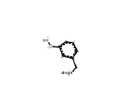 [CH2]CCOc1cccc(CCCCCCCC)c1